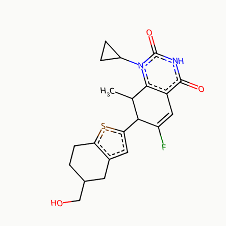 CC1c2c(c(=O)[nH]c(=O)n2C2CC2)C=C(F)C1c1cc2c(s1)CCC(CO)C2